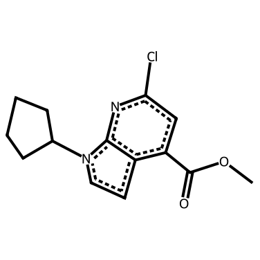 COC(=O)c1cc(Cl)nc2c1ccn2C1CCCC1